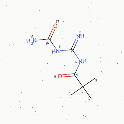 CC(C)(C)C(=O)NC(=N)NC(N)=O